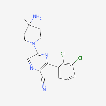 CC1(N)CCN(c2cnc(C#N)c(-c3cccc(Cl)c3Cl)n2)CC1